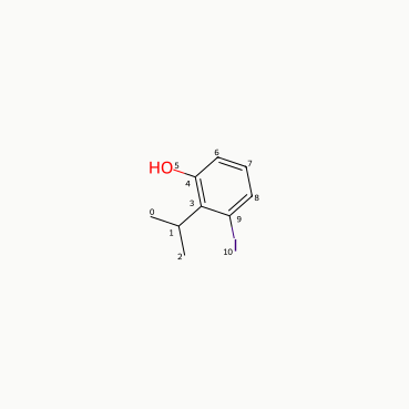 CC(C)c1c(O)cccc1I